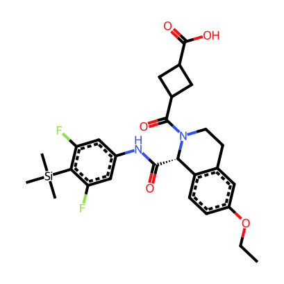 CCOc1ccc2c(c1)CCN(C(=O)C1CC(C(=O)O)C1)[C@H]2C(=O)Nc1cc(F)c([Si](C)(C)C)c(F)c1